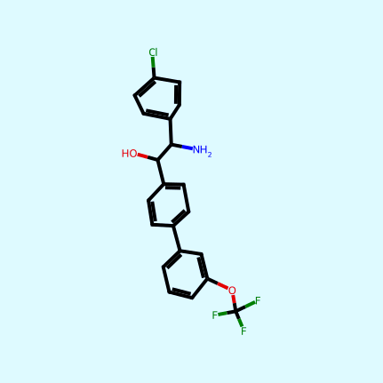 NC(c1ccc(Cl)cc1)C(O)c1ccc(-c2cccc(OC(F)(F)F)c2)cc1